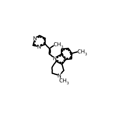 CC(=Cn1c2c(c3cc(C)ccc31)CN(C)CC2)c1ccncn1